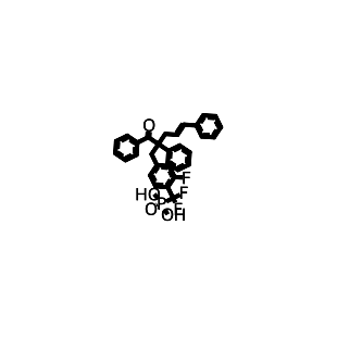 O=C(c1ccccc1)C(C/C=C/c1ccccc1)(Cc1ccc(C(F)(F)P(=O)(O)O)c(F)c1)c1ccccc1